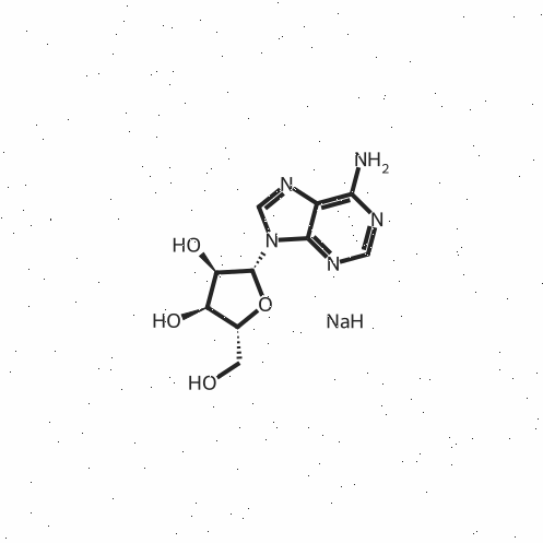 Nc1ncnc2c1ncn2[C@@H]1O[C@H](CO)[C@@H](O)[C@H]1O.[NaH]